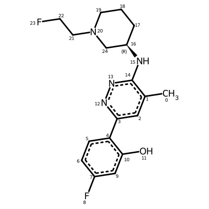 Cc1cc(-c2ccc(F)cc2O)nnc1N[C@@H]1CCCN(CCF)C1